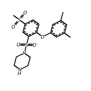 Cc1cc(C)cc(Oc2ccc(S(C)(=O)=O)cc2S(=O)(=O)N2CCNCC2)c1